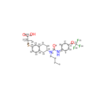 CCCCN(C(=O)Nc1ccc(OC(F)(F)F)cc1)C1CCc2cc(SC(C)(C)C(=O)O)ccc2C1